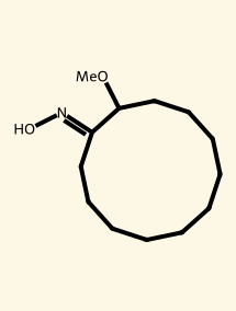 COC1CCCCCCCCCC/C1=N\O